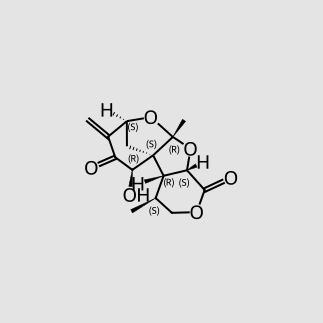 C=C1C(=O)[C@H](O)[C@@]23C[C@@H]1O[C@]2(C)O[C@@H]1C(=O)OC[C@@H](C)[C@@H]13